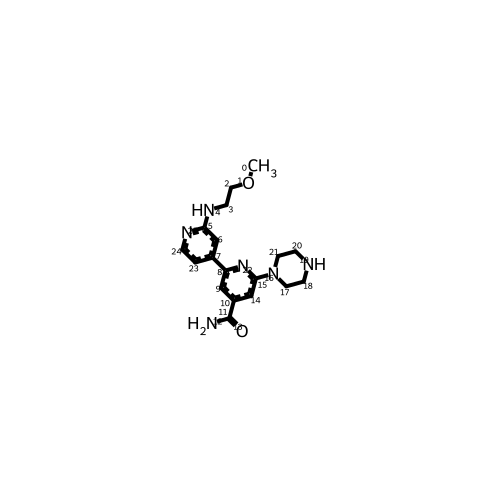 COCCNc1cc(-c2cc(C(N)=O)cc(N3CCNCC3)n2)ccn1